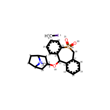 CI.CN1C2CCC1CC(OC1c3ccccc3CS(=O)(=O)c3ccccc31)C2